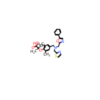 Cc1cc(CN(Cc2ncc(-c3ccccc3)o2)Cc2nccs2)cc(C)c1OC(C)(C)C(=O)O